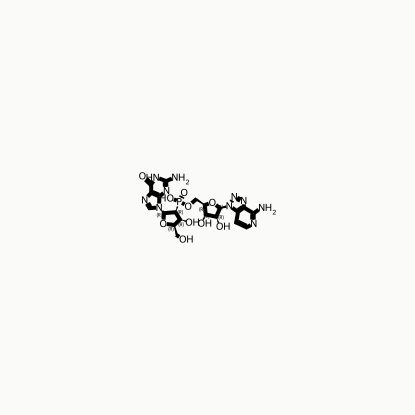 Nc1nc2c(ncn2[C@@H]2O[C@H](CO)[C@@H](O)[C@H]2P(=O)(O)OC[C@H]2O[C@@H](n3nnc4c(N)nccc43)[C@H](O)[C@@H]2O)c(=O)[nH]1